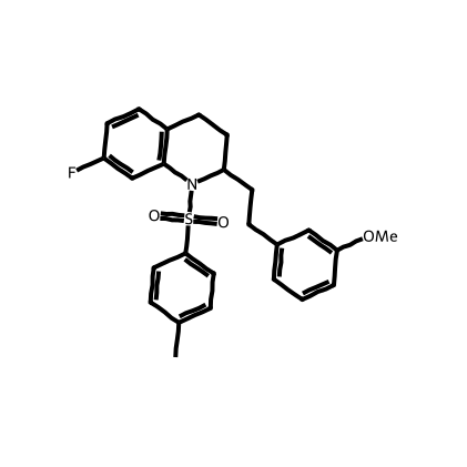 COc1cccc(CCC2CCc3ccc(F)cc3N2S(=O)(=O)c2ccc(C)cc2)c1